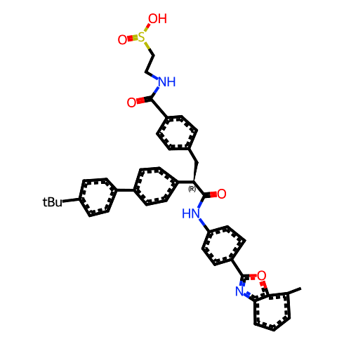 Cc1cccc2nc(-c3ccc(NC(=O)[C@H](Cc4ccc(C(=O)NCCS(=O)O)cc4)c4ccc(-c5ccc(C(C)(C)C)cc5)cc4)cc3)oc12